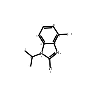 CC(C)n1c(Cl)nc2c(F)cccc21